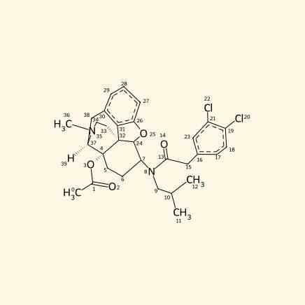 CC(=O)O[C@@]12CCC(N(CC(C)C)C(=O)Cc3ccc(Cl)c(Cl)c3)C3Oc4cccc5c4[C@@]31CCN(C)[C@@H]2C5